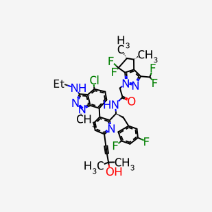 CCNc1nn(C)c2c(-c3ccc(C#CC(C)(C)O)nc3[C@H](Cc3cc(F)cc(F)c3)NC(=O)Cn3nc(C(F)F)c4c3C(F)(F)[C@H](C)[C@@H]4C)ccc(Cl)c12